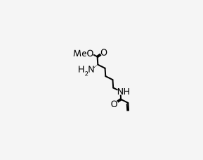 C=CC(=O)NCCCC[C@H](N)C(=O)OC